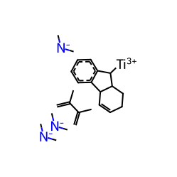 C=C(C)C(=C)C.C[N-]C.C[N-]C.C[N-]C.[Ti+3][CH]1c2ccccc2C2C=CCCC12